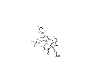 N=C/C=C(\Nc1ccccc1)c1nn(-c2ccc(-n3cccn3)cc2OC(F)(F)F)ccc1=O